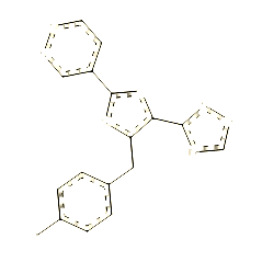 Clc1ccc(Cc2nc(-c3ccnnc3)sc2-c2nnc[nH]2)cc1